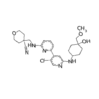 COCC1(O)CCC(Nc2cc(-c3cccc(NCC4(C#N)CCOCC4)n3)c(Cl)cn2)CC1